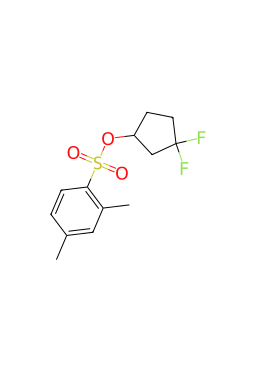 Cc1ccc(S(=O)(=O)OC2CCC(F)(F)C2)c(C)c1